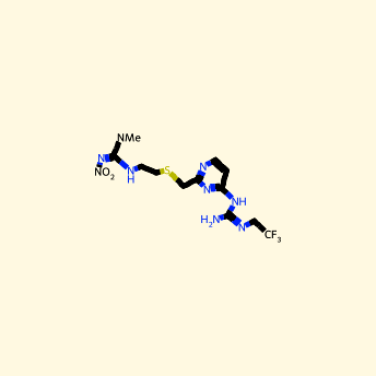 CN/C(=N/[N+](=O)[O-])NCCSCc1nccc(N/C(N)=N\CC(F)(F)F)n1